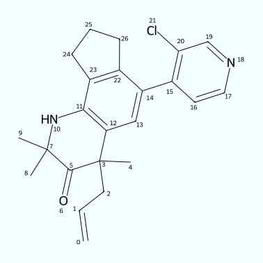 C=CCC1(C)C(=O)C(C)(C)Nc2c1cc(-c1ccncc1Cl)c1c2CCC1